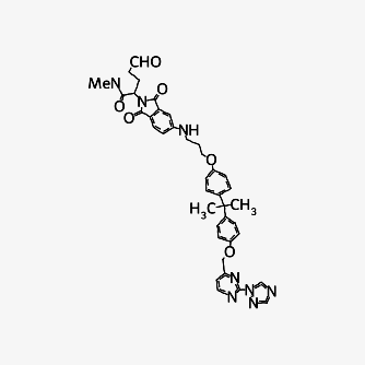 CNC(=O)C(CCC=O)N1C(=O)c2ccc(NCCCOc3ccc(C(C)(C)c4ccc(OCc5ccnc(-n6cncn6)n5)cc4)cc3)cc2C1=O